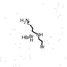 Br.Br.NCCCNCCBr